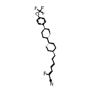 N#CC(F)=CC=CCC[C@H]1CC[C@H]([C@H]2CC[C@H](c3ccc(OC(F)(F)F)cc3)CC2)CC1